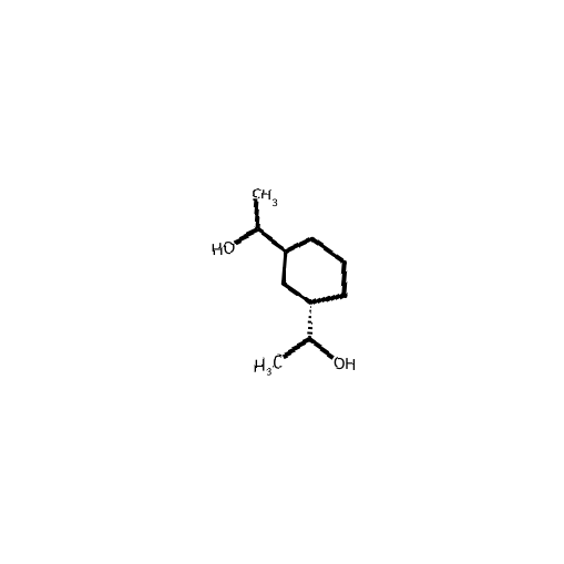 CC(O)C1CCC[C@H](C(C)O)C1